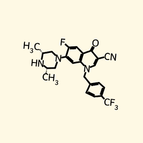 C[C@@H]1CN(c2cc3c(cc2F)c(=O)c(C#N)cn3Cc2ccc(C(F)(F)F)cc2)C[C@H](C)N1